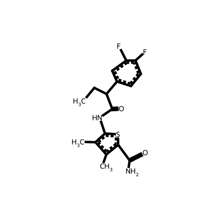 CCC(C(=O)Nc1sc(C(N)=O)c(C)c1C)c1ccc(F)c(F)c1